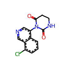 O=C1CCNC(=O)N1c1cncc2c(Cl)cccc12